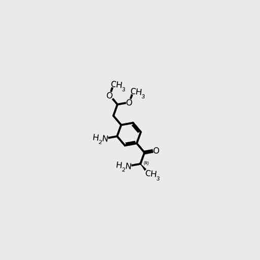 COC(CC1C=CC(C(=O)[C@@H](C)N)=CC1N)OC